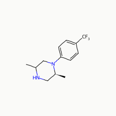 CC1CN(c2ccc(C(F)(F)F)cc2)[C@@H](C)CN1